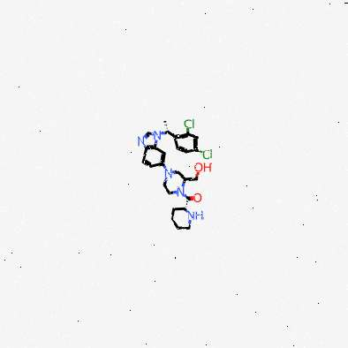 C[C@H](c1ccc(Cl)cc1Cl)n1cnc2ccc(N3CCN(C(=O)[C@H]4CCCCN4)C(CO)C3)cc21